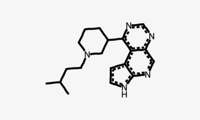 CC(C)CCN1CCCC(c2ncnc3cnc4[nH]ccc4c23)C1